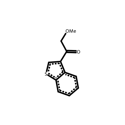 COCC(=O)c1csc2ccccc12